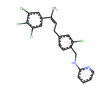 FC(F)(F)C(=CCc1ccc(CNc2ccccn2)c(Cl)c1)c1cc(Cl)c(Cl)c(Cl)c1